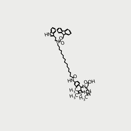 Cc1sc2c(c1C)C(c1ccc(NC(=O)CCCCCCCCCCCCCCCN(CCc3c[nH]c4ccccc34)C(=O)OCC3c4ccccc4-c4ccccc43)cc1)=N[C@@H](CC(=O)O)c1nnc(C)n1-2